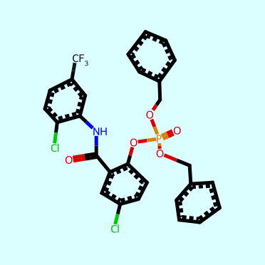 O=C(Nc1cc(C(F)(F)F)ccc1Cl)c1cc(Cl)ccc1OP(=O)(OCc1ccccc1)OCc1ccccc1